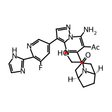 CC(=O)c1c(C2C[C@H]3CC[C@@H](C2)N3C(=O)CO)nc2c(-c3cnc(-c4ncc[nH]4)c(F)c3)cnn2c1N